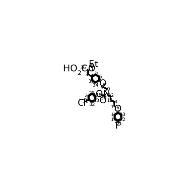 CCOC(Cc1ccc(OCCN(CCCCOc2ccc(F)cc2)C(=O)Oc2ccc(Cl)cc2)cc1)C(=O)O